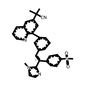 Cn1ccnc1/C(=C/c1cccc(-c2cc(C(C)(C)C#N)cc3cccnc23)c1)c1ccc(S(C)(=O)=O)cc1